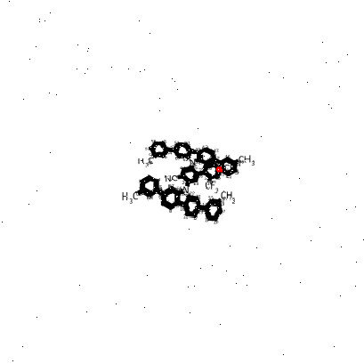 Cc1cccc(-c2ccc3c4ccc(-c5cccc(C)c5)cc4n(-c4cc(-c5ccc(C(F)(F)F)cc5C(F)(F)F)c(-n5c6cc(-c7cccc(C)c7)ccc6c6ccc(-c7cccc(C)c7)cc65)cc4C#N)c3c2)c1